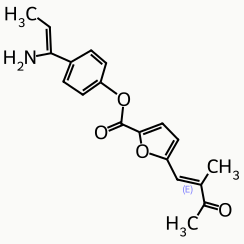 CC=C(N)c1ccc(OC(=O)c2ccc(/C=C(\C)C(C)=O)o2)cc1